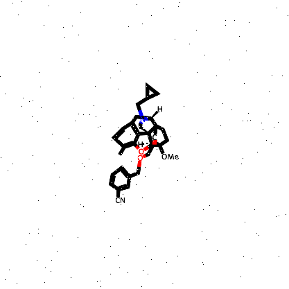 COC12CCC3(C[C@@H]1COCc1cccc(C#N)c1)[C@H]1Cc4ccc(C)c5c4[C@@]3(CCN1CC1CC1)[C@H]2O5